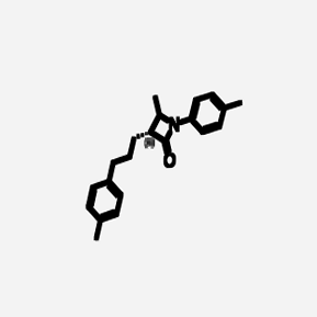 Cc1ccc(CCC[C@H]2C(=O)N(c3ccc(C)cc3)C2C)cc1